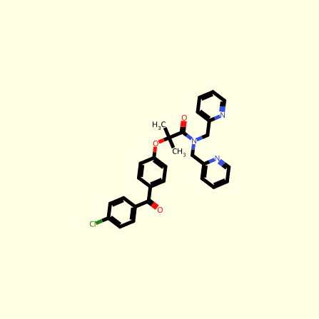 CC(C)(Oc1ccc(C(=O)c2ccc(Cl)cc2)cc1)C(=O)N(Cc1ccccn1)Cc1ccccn1